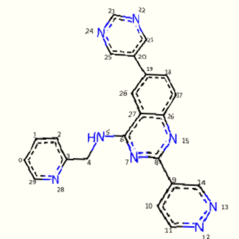 c1ccc(CNc2nc(-c3ccnnc3)nc3ccc(-c4cncnc4)cc23)nc1